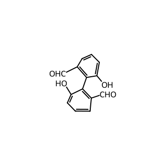 O=Cc1cccc(O)c1-c1c(O)cccc1C=O